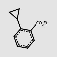 CCOC(=O)c1ccccc1C1CC1